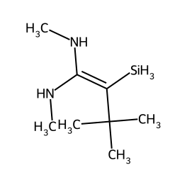 CNC(NC)=C([SiH3])C(C)(C)C